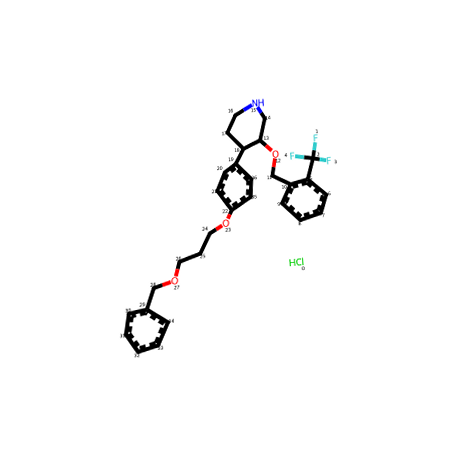 Cl.FC(F)(F)c1ccccc1COC1CNCCC1c1ccc(OCCCOCc2ccccc2)cc1